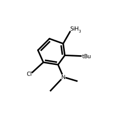 CN(C)c1c(Cl)ccc([SiH3])c1C(C)(C)C